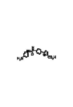 Nc1ccc(NC(=O)Nc2ccc(-c3ccc(C(=O)O)o3)cc2)cc1